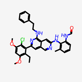 CCc1c(OC)cc(OC)c(Cl)c1-c1cc2cnc(Nc3c(C)cccc3NC=O)cc2c(NCCc2ccccc2)n1